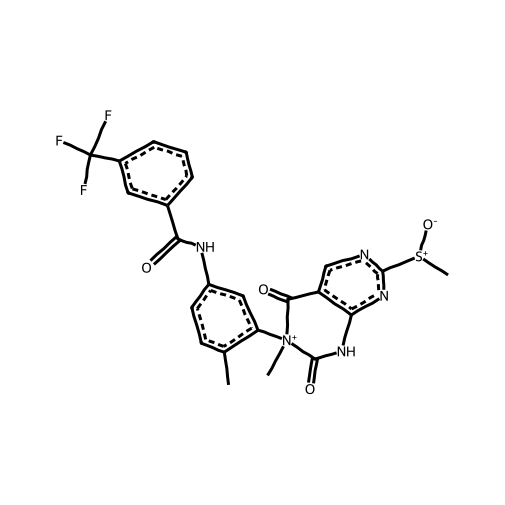 Cc1ccc(NC(=O)c2cccc(C(F)(F)F)c2)cc1[N+]1(C)C(=O)Nc2nc([S+](C)[O-])ncc2C1=O